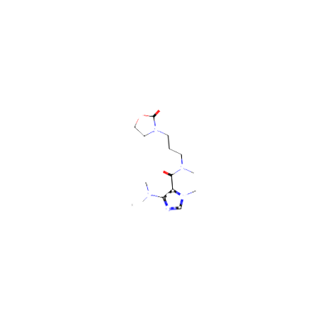 CN(CCCN1CCOC1=O)C(=O)c1c(N(C)C=O)ncn1C